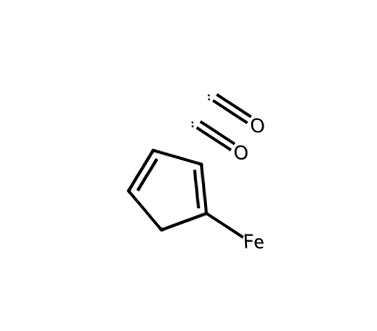 [C]=O.[C]=O.[Fe][C]1=CC=CC1